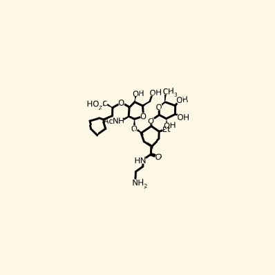 CCC1CC(C(=O)NCCN)C[C@@H](O[C@@H]2OC(CO)[C@H](O)C(O[C@@H](CC3CCCCC3)C(=O)O)C2NC(C)=O)C1OC1O[C@@H](C)C(O)C(O)[C@@H]1O